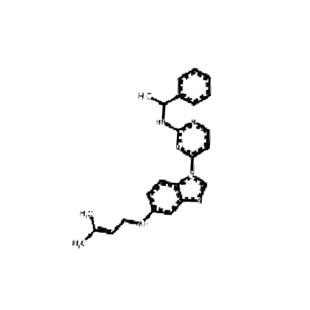 CC(C)=CCNc1ccc2c(c1)ncn2-c1ccnc(NC(C)c2ccccc2)n1